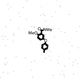 CNC(=O)c1cc(Oc2ccc(C)cc2)ccc1OC